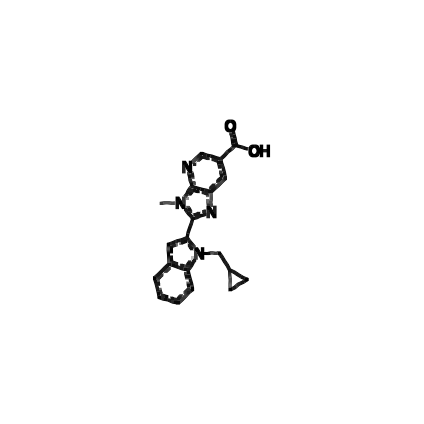 Cn1c(-c2cc3ccccc3n2CC2CC2)nc2cc(C(=O)O)cnc21